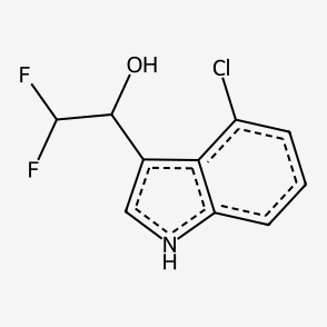 OC(c1c[nH]c2cccc(Cl)c12)C(F)F